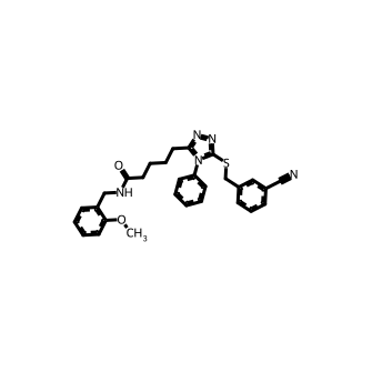 COc1ccccc1CNC(=O)CCCCc1nnc(SCc2cccc(C#N)c2)n1-c1ccccc1